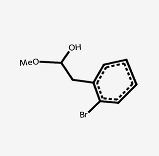 COC(O)Cc1ccccc1Br